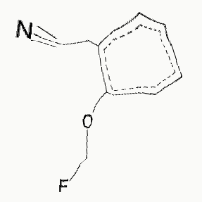 N#Cc1ccccc1OCF